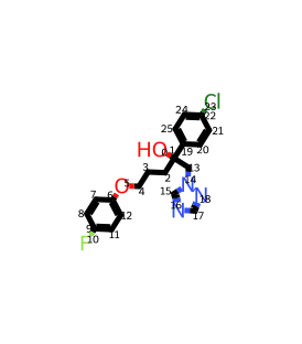 OC(CCCOc1ccc(F)cc1)(Cn1cncn1)c1ccc(Cl)cc1